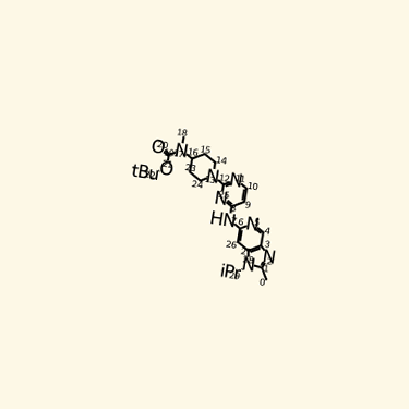 Cc1nc2cnc(Nc3ccnc(N4CCC(N(C)C(=O)OC(C)(C)C)CC4)n3)cc2n1C(C)C